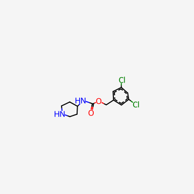 O=C(NC1CCNCC1)OCc1cc(Cl)cc(Cl)c1